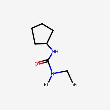 [CH2]CN(CC(C)C)C(=O)NC1CCCC1